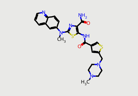 CN1CCN(Cc2cc(C(=O)Nc3sc(N(C)c4ccc5ncccc5c4)nc3C(N)=O)cs2)CC1